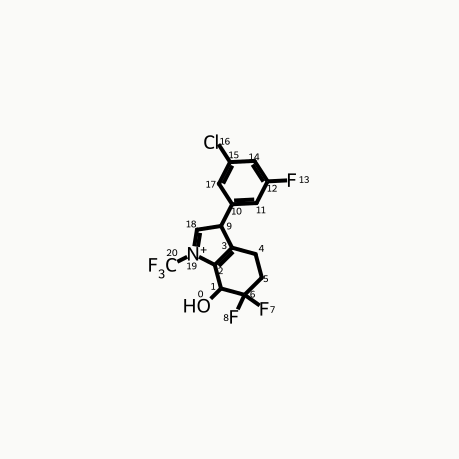 OC1C2=C(CCC1(F)F)C(c1cc(F)cc(Cl)c1)C=[N+]2C(F)(F)F